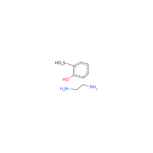 NCCN.O=S(=O)(O)c1ccccc1O